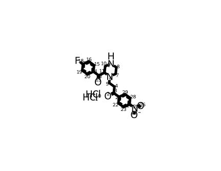 Cl.Cl.O=C(CCN1CCNCC1C(=O)c1ccc(F)cc1)c1ccc([N+](=O)[O-])cc1